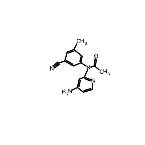 CC(=O)N(c1cc(C)cc(C#N)c1)c1cc(N)ccn1